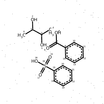 CC(O)C(C)O.O=C(O)c1ccccc1.O=S(=O)(O)c1ccccc1